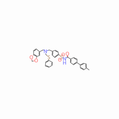 Cc1ccc(-c2ccc(C(=O)NS(=O)(=O)c3ccc(CN(CSc4ccccc4)Cc4ccc5c(c4)OCO5)cc3)cc2)cc1